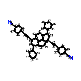 N#Cc1ccc(C#Cc2cc(-c3ccccc3)c3ccc4c(C#Cc5ccc(C#N)cc5)cc(-c5ccccc5)c5ccc2c3c45)cc1